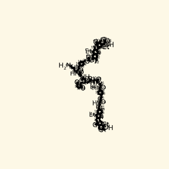 C=C1OCc2c(cc3n(c2=O)Cc2c-3nc3cc(F)c(OCNC(=O)OCc4ccc(NC(=O)[C@H](C)NC(=O)[C@H](C)NC(=O)CN(CCN5C(=O)C=CC5=O)CC(=O)NCC(=O)N[C@@H](CCCCN)C(=O)Nc5ccc(COC(=O)Oc6cc7c(CC)c8c(nc7cc6F)-c6cc7c(c(=O)n6C8)COC(=O)[C@]7(O)CC)cc5)cc4)cc3c2CC)[C@@]1(O)CC